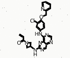 C=CC(=O)N1CC(Nc2ncc3ncnc(Nc4ccc(OCc5ccccn5)c(Cl)c4)c3n2)C1